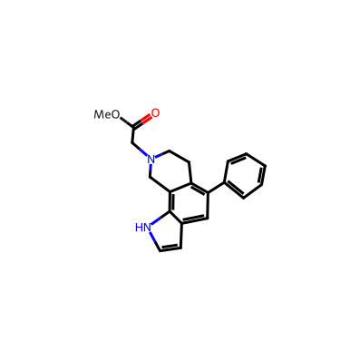 COC(=O)CN1CCc2c(-c3ccccc3)cc3cc[nH]c3c2C1